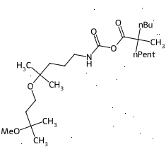 CCCCCC(C)(CCCC)C(=O)OC(=O)NCCCC(C)(C)OCCC(C)(C)OC